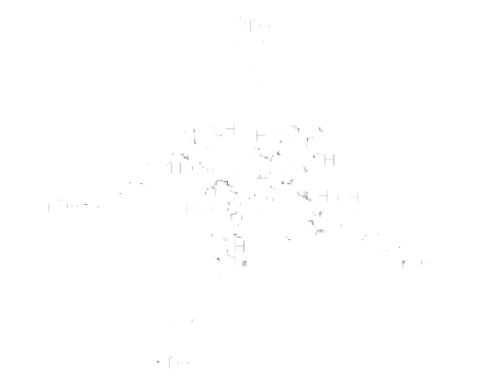 CCCCCCCCCCCCCCCCCCOC(=O)C(C)CC(C)C(=O)OCC(COC(=O)C(C)CC(C)C(=O)OCCCCCCCCCCCCCCCCCC)(COC(=O)C(C)CC(C)C(=O)OCCCCCCCCCCCCCCCCCC)COC(=O)C(C)CC(C)C(=O)OC(C)CCCCCCCCCCCCCCCC